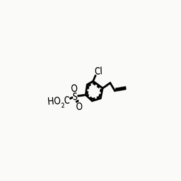 C=CCc1ccc(S(=O)(=O)C(=O)O)cc1Cl